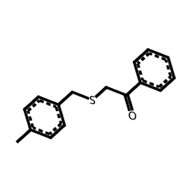 Cc1ccc(CSCC(=O)c2ccccc2)cc1